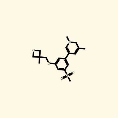 CC1=CC(c2cc(OCC3(C)COC3)cc(S(C)(=O)=O)c2)=CN(C)C1